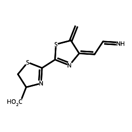 C=c1sc(C2=NC(C(=O)O)CS2)n/c1=C/C=N